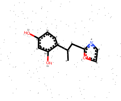 CC(Cc1ncco1)c1ccc(O)cc1O